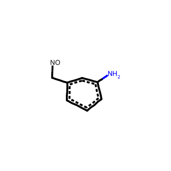 Nc1cccc(CN=O)c1